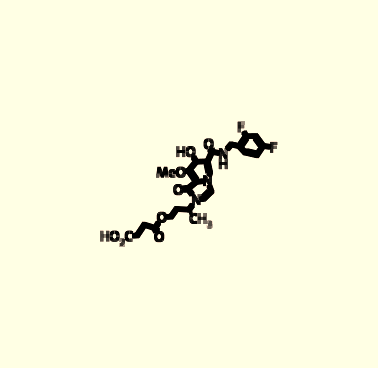 COC1=C2C(=O)N([C@H](C)CCOC(=O)CCC(=O)O)C=CN2C=C(C(=O)NCc2ccc(F)cc2F)C1O